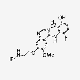 COc1cc2c(Nc3c(F)ccc(O)c3C)ncnc2cc1OCCNC(C)C